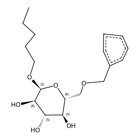 CCCCCO[C@H]1O[C@H](COCc2ccccc2)[C@@H](O)[C@H](O)[C@H]1O